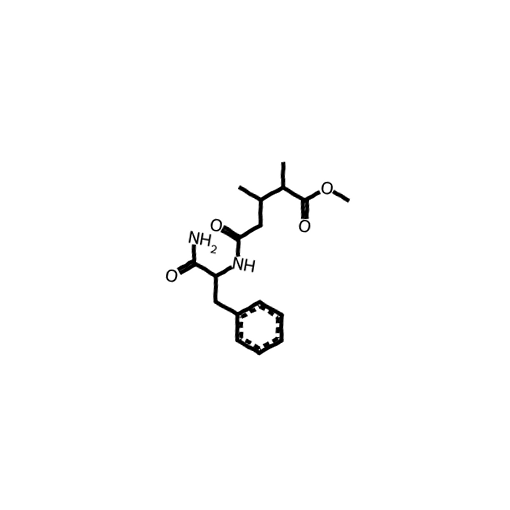 COC(=O)C(C)C(C)CC(=O)NC(Cc1ccccc1)C(N)=O